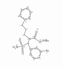 CC(=O)c1cccc(C(N(CCCc2ccccc2)C(=O)OC(C)(C)C)S(N)(=O)=O)c1